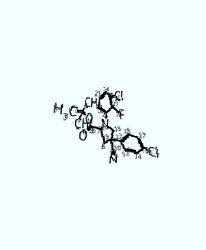 CC(C)(C)OC(=O)C1CC(C#N)(c2ccc(Cl)cc2)CN1c1cccc(Cl)c1F